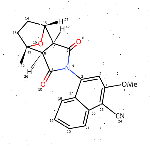 COc1cc(N2C(=O)[C@H]3[C@@H](C2=O)[C@]2(C)CC[C@H]3O2)c2ccccc2c1C#N